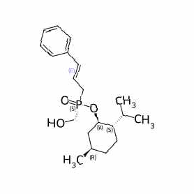 CC(C)[C@@H]1CC[C@@H](C)C[C@H]1O[P@](=O)(CO)C/C=C/c1ccccc1